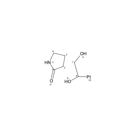 O=C1CCCN1.OC[CH](O)[Pt]